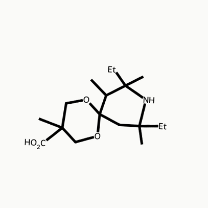 CCC1(C)CC2(OCC(C)(C(=O)O)CO2)C(C)C(C)(CC)N1